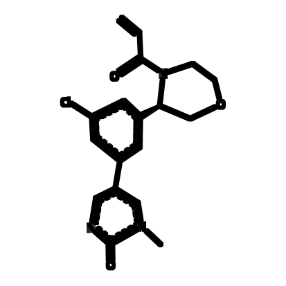 C=CC(=O)N1CCOC[C@H]1c1cc(Cl)cc(-c2cnc(=O)n(C)c2)c1